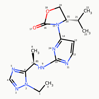 CCn1ncnc1[C@@H](C)Nc1nccc(N2C(=O)OC[C@@H]2C(C)C)n1